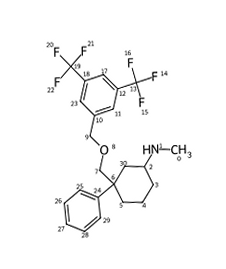 CNC1CCCC(COCc2cc(C(F)(F)F)cc(C(F)(F)F)c2)(c2ccccc2)C1